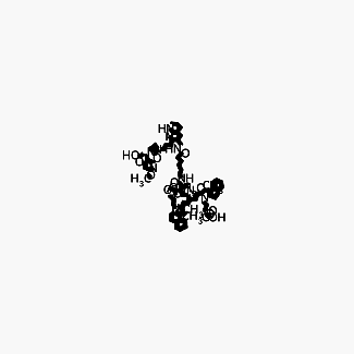 COc1ccc([C@H](CC(=O)O)N2CCN(CCCc3nc4c(cc3CNC(=O)CCCCCNC(=O)c3ccc(C(=C\C=C5\N(CCCS(=O)(=O)O)c6ccc7ccccc7c6C5(C)C)/C=C/C5N(CCCS(=O)(=O)O)c6ccc7ccccc7c6C5(C)C)nc3)CCCN4)C2=O)cn1